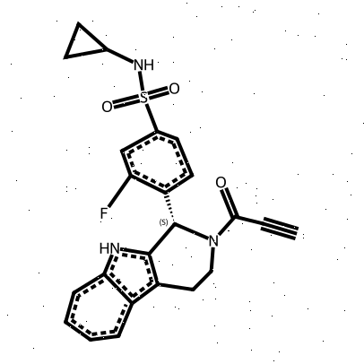 C#CC(=O)N1CCc2c([nH]c3ccccc23)[C@@H]1c1ccc(S(=O)(=O)NC2CC2)cc1F